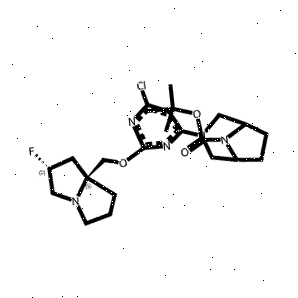 CC(C)(C)OC(=O)N1C2CCC1CN(c1cc(Cl)nc(OC[C@@]34CCCN3C[C@H](F)C4)n1)C2